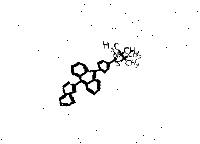 CC1(C)N=C(c2ccc(-c3c4ccccc4c(-c4ccc5ccccc5c4)c4ccccc34)cc2)SC1(C)C